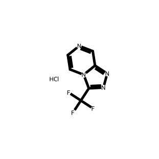 Cl.FC(F)(F)c1nnc2cnccn12